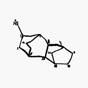 SC1CC2CC1C1C3CCC(C3)C21